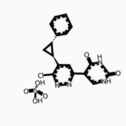 O=S(=O)(O)O.O=c1[nH]cc(-c2cc([C@H]3C[C@@H]3c3ccccc3)c(Cl)nn2)c(=O)[nH]1